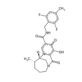 Cc1cc(F)c(CNC(=O)c2cn3c(c(O)c2=O)C(=O)N2CCC[C@H](C)[C@H]3C2)c(F)c1